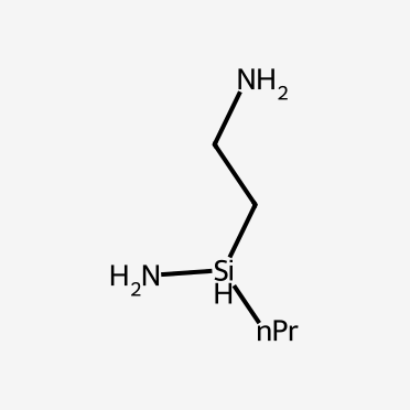 CCC[SiH](N)CCN